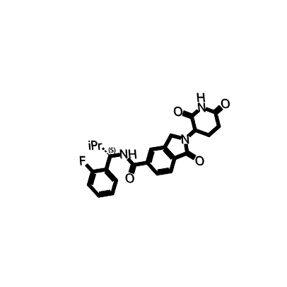 CC(C)[C@H](NC(=O)c1ccc2c(c1)CN(C1CCC(=O)NC1=O)C2=O)c1ccccc1F